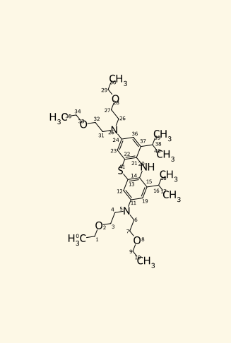 CCOCCN(CCOCC)c1cc2c(c(C(C)C)c1)Nc1c(cc(N(CCOCC)CCOCC)cc1C(C)C)S2